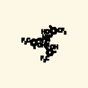 Cc1cc(C(F)(F)F)cc(/C=N/CC(C)(C/N=C/c2cc(C(F)(F)F)cc(C)c2O)NCc2cc(C(F)(F)F)cc(C)c2O)c1O